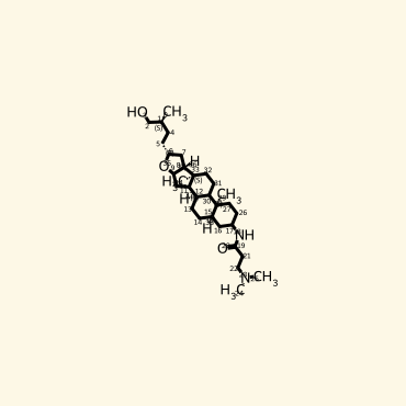 C[C@H](CO)CC[C@@H]1C[C@H]2C(CC3[C@@H]4CC[C@@H]5CC(NC(=O)CCN(C)C)CC[C@]5(C)C4CC[C@@]32C)O1